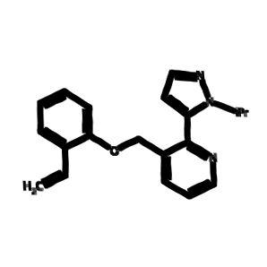 C=Cc1ccccc1OCc1cccnc1-c1ccnn1C(C)C